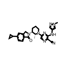 C[C@@H]1[C@H](N2Cc3cc(C4CC4)ccc3C2=O)CCCN1c1cnc(C#N)c(Nc2cnn(C)c2)n1